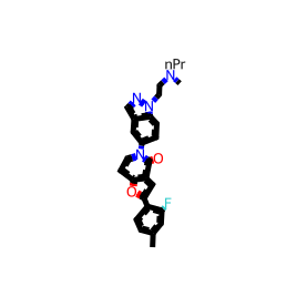 CCCN(C)CCn1ncc2cc(-n3ccc4oc(-c5ccc(C)cc5F)cc4c3=O)ccc21